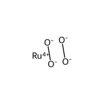 [O-][O-].[O-][O-].[Ru+4]